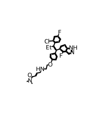 CCC(=C(c1ccc(OCCNCC=CC(=O)N(C)C)cc1)c1ccc2[nH]ncc2c1F)c1ccc(F)cc1Cl